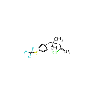 C=C(Cl)CC(C)(C)Cc1ccc(SC(F)(F)F)cc1